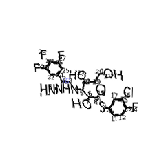 N=N/C(=C\NC1C(O)[C@@H](Sc2ccc(F)c(Cl)c2)OC(CO)[C@@H]1O)c1cc(F)c(F)c(F)c1